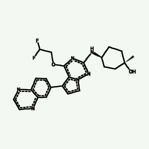 C[C@]1(O)CC[C@@H](Nc2nc(OCC(F)F)c3c(-c4ccc5nccnc5c4)ccn3n2)CC1